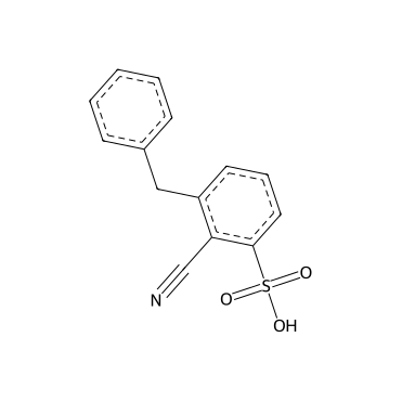 N#Cc1c(Cc2ccccc2)cccc1S(=O)(=O)O